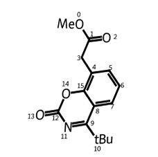 COC(=O)Cc1cccc2c(C(C)(C)C)nc(=O)oc12